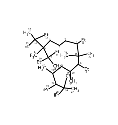 CCC(CCCC(C(F)(F)F)(C(C)(CC)CC)C(C)(CC)CC)C(C)(C(CC)C(C)CC(C)C(C(C)C)C(C)(C(C)C)C(F)(F)F)C(F)(F)F